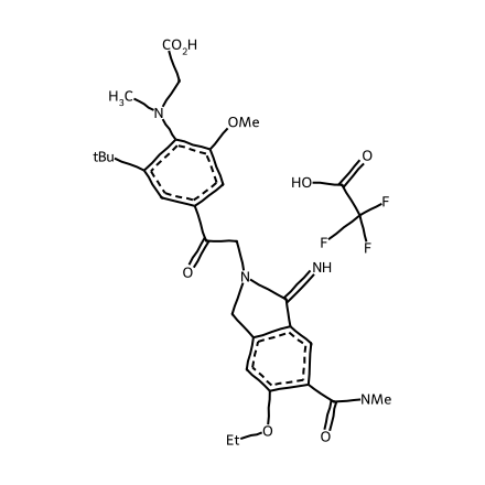 CCOc1cc2c(cc1C(=O)NC)C(=N)N(CC(=O)c1cc(OC)c(N(C)CC(=O)O)c(C(C)(C)C)c1)C2.O=C(O)C(F)(F)F